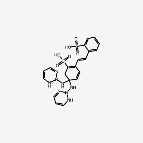 O=S(=O)(O)C1=C(C=Cc2ccccc2S(=O)(=O)O)C=CC(NN2N=CC=CN2)(NN2N=CC=CN2)C1